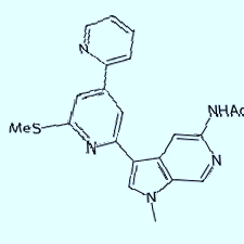 CSc1cc(-c2ccccn2)cc(-c2cn(C)c3cnc(NC(C)=O)cc23)n1